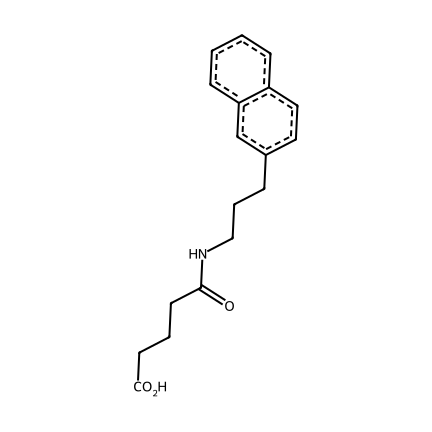 O=C(O)CCCC(=O)NCCCc1ccc2ccccc2c1